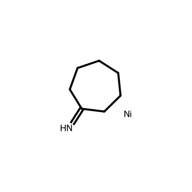 N=C1CCCCCC1.[Ni]